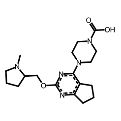 CN1CCCC1COc1nc2c(c(N3CCN(C(=O)O)CC3)n1)CCC2